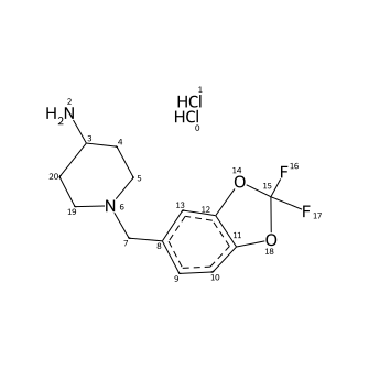 Cl.Cl.NC1CCN(Cc2ccc3c(c2)OC(F)(F)O3)CC1